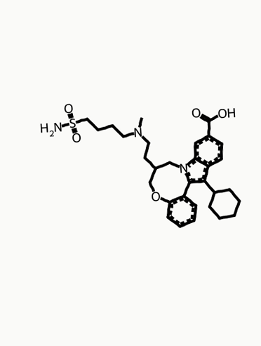 CN(CCCCS(N)(=O)=O)CCC1COc2ccccc2-c2c(C3CCCCC3)c3ccc(C(=O)O)cc3n2C1